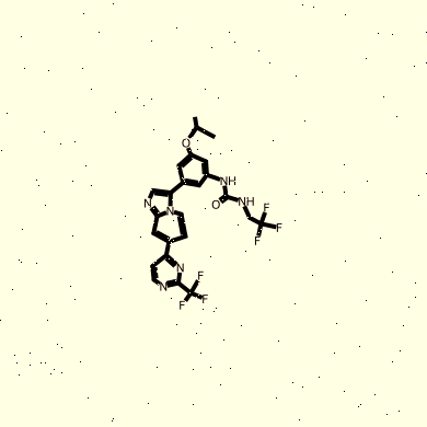 CC(C)Oc1cc(NC(=O)NCC(F)(F)F)cc(-c2cnc3cc(-c4ccnc(C(F)(F)F)n4)ccn23)c1